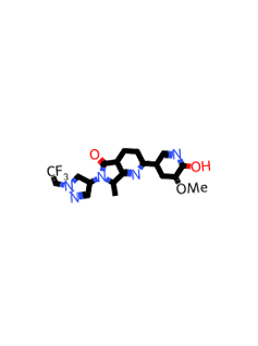 COC1CC(C2CCC3C(=O)N(C4C=NN(CC(F)(F)F)C4)C(C)C3=N2)C=NC1O